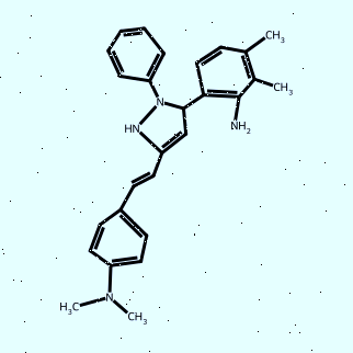 Cc1ccc(C2C=C(C=Cc3ccc(N(C)C)cc3)NN2c2ccccc2)c(N)c1C